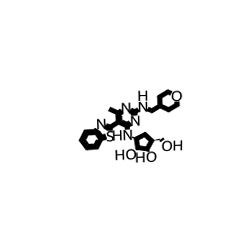 Cc1nc(NCC2CCOCC2)nc(N[C@@H]2C[C@H](CO)[C@@H](O)[C@H]2O)c1-c1nc2ccccc2s1